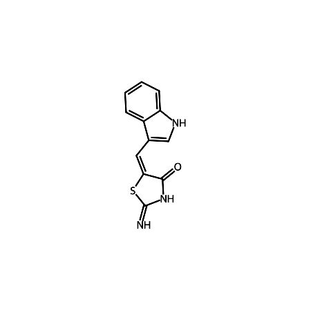 N=C1NC(=O)/C(=C\c2c[nH]c3ccccc23)S1